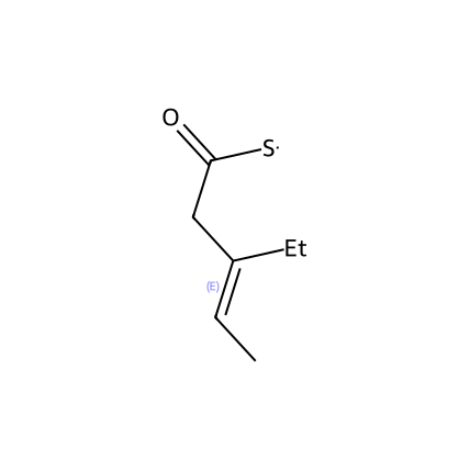 C/C=C(\CC)CC(=O)[S]